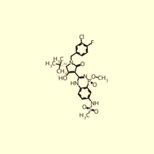 COP1(=O)N=C(C2=C(O)[C@H](C(C)(C)C)N(Cc3ccc(F)c(Cl)c3)C2=O)Nc2ccc(NS(C)(=O)=O)cc21